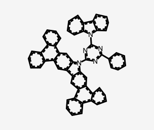 c1ccc(-c2nc(-n3c4ccccc4c4ccccc43)nc(-n3c4cc5c6ccccc6c6ccccc6c5cc4c4cc5c6ccccc6c6ccccc6c5cc43)n2)cc1